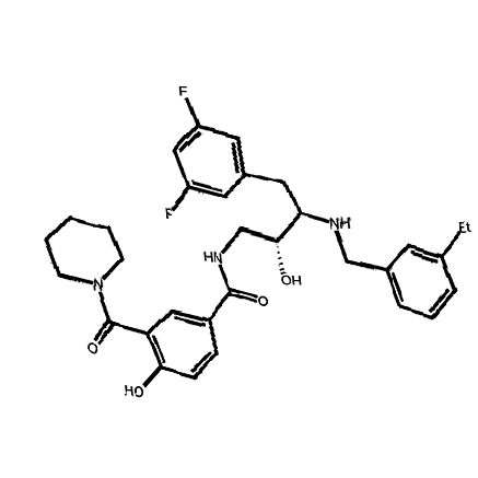 CCc1cccc(CNC(Cc2cc(F)cc(F)c2)[C@H](O)CNC(=O)c2ccc(O)c(C(=O)N3CCCCC3)c2)c1